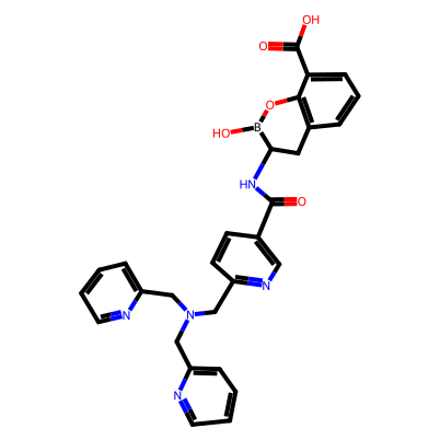 O=C(NC1Cc2cccc(C(=O)O)c2OB1O)c1ccc(CN(Cc2ccccn2)Cc2ccccn2)nc1